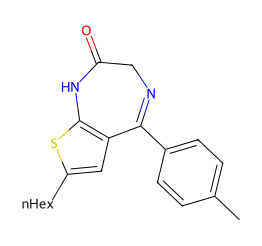 CCCCCCc1cc2c(s1)NC(=O)CN=C2c1ccc(C)cc1